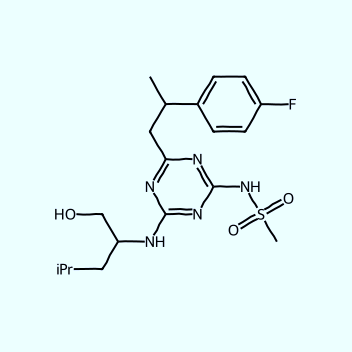 CC(C)CC(CO)Nc1nc(CC(C)c2ccc(F)cc2)nc(NS(C)(=O)=O)n1